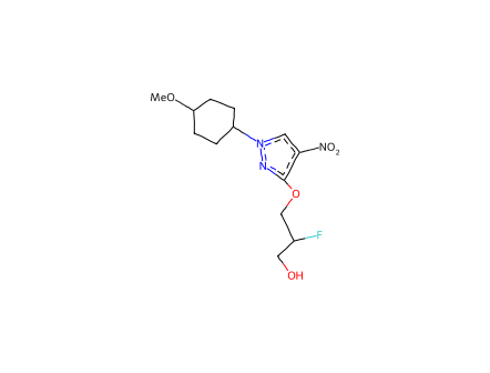 COC1CCC(n2cc([N+](=O)[O-])c(OCC(F)CO)n2)CC1